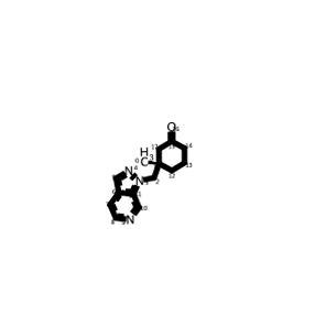 C[C@]1(Cn2ncc3ccncc32)CCCC(=O)C1